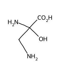 NCC(N)(O)C(=O)O